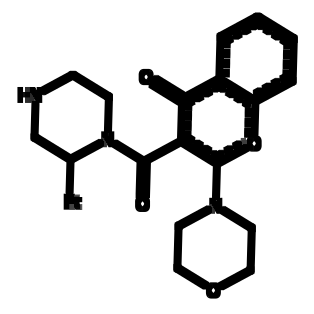 CCC1CNCCN1C(=O)c1c(N2CCOCC2)oc2ccccc2c1=O